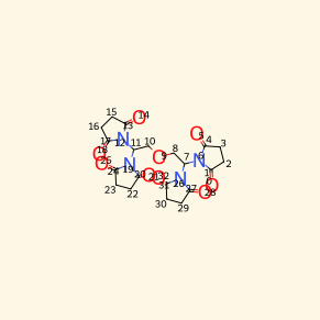 O=C1CCC(=O)N1C(COCC(N1C(=O)CCC1=O)N1C(=O)CCC1=O)N1C(=O)CCC1=O